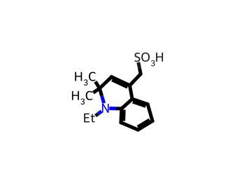 CCN1c2ccccc2C(CS(=O)(=O)O)=CC1(C)C